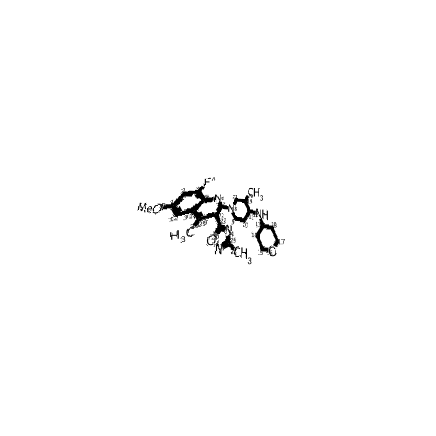 COc1cc(F)c2nc(N3CCC(NC4CCOCC4)C(C)C3)c(-c3nc(C)no3)c(C)c2c1